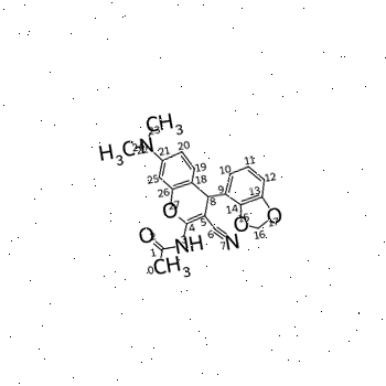 CC(=O)NC1=C(C#N)C(c2cccc3c2OCO3)c2ccc(N(C)C)cc2O1